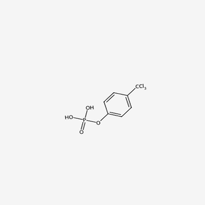 O=P(O)(O)Oc1ccc(C(Cl)(Cl)Cl)cc1